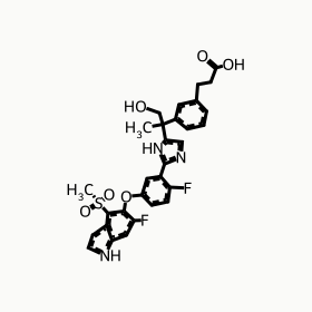 CC(CO)(c1cccc(CCC(=O)O)c1)c1cnc(-c2cc(Oc3c(F)cc4[nH]ccc4c3S(C)(=O)=O)ccc2F)[nH]1